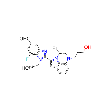 C#CCn1c(-c2cc3cccc4c3n2C(CC)CN4CCCO)nc2cc(C=O)cc(F)c21